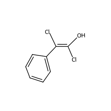 OC(Cl)=C(Cl)c1ccccc1